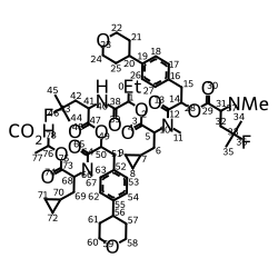 CCC(OC(=O)C(CC1CC1)N(C)C(=O)C(Cc1ccc(C2CCOCC2)cc1)OC(=O)C(CC(C)(C)F)NC)C(=O)NC(CC(C)(C)F)C(=O)OC(Cc1ccc(C2CCOCC2)cc1)C(=O)N(C)C(CC1CC1)C(=O)OC(C)C(=O)O